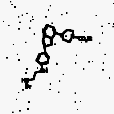 CCOC(=O)N1CCN(c2ccnn3cc(-c4ccc(NCCNC(C)C)cc4)cc23)CC1